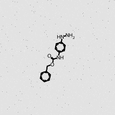 NNc1ccc(NC(=O)OCc2ccccc2)cc1